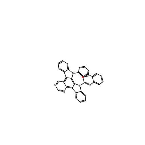 c1ccc(-n2c3ccccc3c3c4cncnc4c4c5ccccc5n(-c5ncc6ccccc6n5)c4c32)cc1